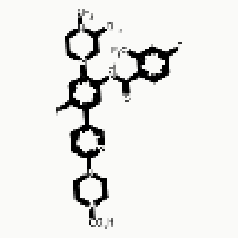 CC1CN(c2cc(F)c(-c3ccc(N4CCN(C(=O)O)CC4)nc3)cc2NC(=O)c2ccc(F)cc2C(F)(F)F)CCN1C